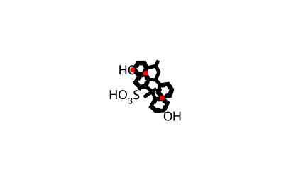 CC(CC(c1ccccc1)c1cc(O)cc(S(=O)(=O)O)c1C(C)(C)c1ccc(O)cc1)c1ccccc1